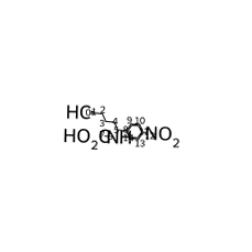 C#CCCCC(NC(=O)O)c1ccc([N+](=O)[O-])cc1